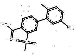 Cc1ccc(N)cc1-c1ccc(C(=O)O)c(S(C)(=O)=O)c1